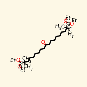 CCO[SiH](OCC)C(C)(C)CCCCCCCC(=O)CCCCCCCC(C)(C)[SiH](OCC)OCC